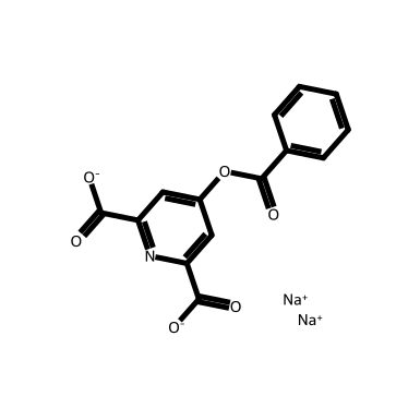 O=C(Oc1cc(C(=O)[O-])nc(C(=O)[O-])c1)c1ccccc1.[Na+].[Na+]